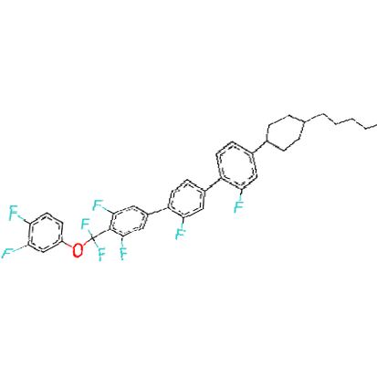 CCCCCC1CCC(c2ccc(-c3ccc(-c4cc(F)c(C(F)(F)Oc5ccc(F)c(F)c5)c(F)c4)c(F)c3)c(F)c2)CC1